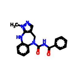 Cn1ncc2c1Nc1ccccc1N(C(=O)NC(=O)c1ccccc1)C2